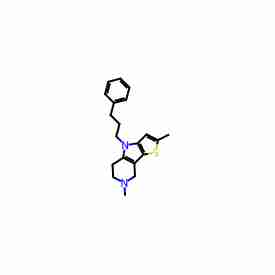 Cc1cc2c(s1)c1c(n2CCCc2ccccc2)CCN(C)C1